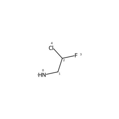 [NH]CC(F)Cl